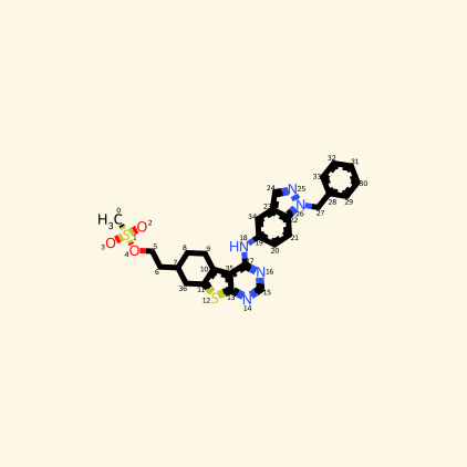 CS(=O)(=O)OCCC1CCc2c(sc3ncnc(Nc4ccc5c(cnn5Cc5ccccc5)c4)c23)C1